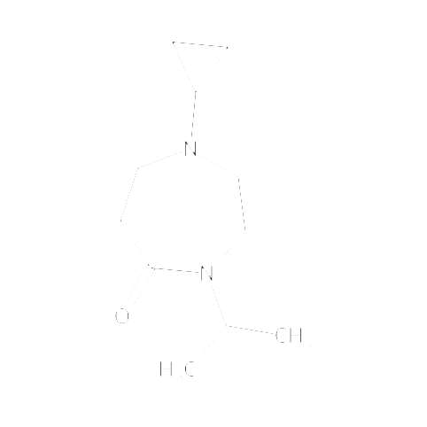 CC(C)N1CCN(C2CC2)CCC1=O